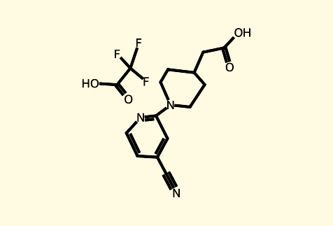 N#Cc1ccnc(N2CCC(CC(=O)O)CC2)c1.O=C(O)C(F)(F)F